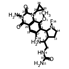 COc1c(C2C(C(N)CNC(N)=O)CCN2F)c(F)cc2c(=O)n(N)c(=O)n(C3CC3)c12